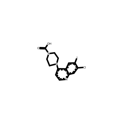 O=C(O)N1CCN(c2ccnc3cc(Cl)c(I)cc23)CC1